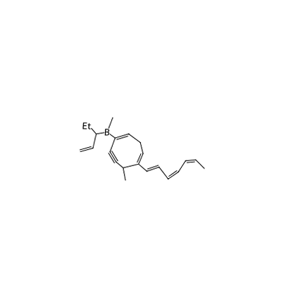 C=CC(CC)B(C)C1=CC/C=C(/C=C/C=C\C=C/C)C(C)C#C1